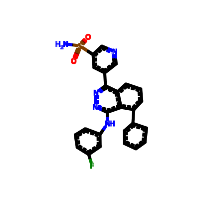 NS(=O)(=O)c1cncc(-c2nnc(Nc3cccc(F)c3)c3c(-c4ccccc4)cccc23)c1